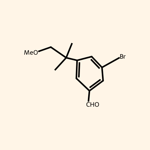 COCC(C)(C)c1cc(Br)cc(C=O)c1